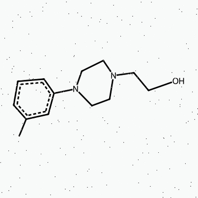 Cc1cccc(N2CCN(CCO)CC2)c1